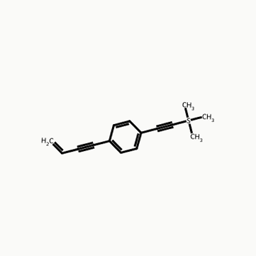 C=CC#Cc1ccc(C#CS(C)(C)C)cc1